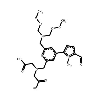 COOCN(COOC)Cc1cc(-c2ccc(C=O)n2C)cc(CN(CC(=O)O)CC(=O)O)n1